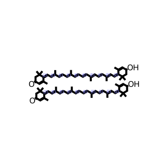 CC1=CC(=O)CC(C)(C)/C1=C/C=C(C)/C=C/C=C(C)/C=C/C=C/C(C)=C/C=C/C(C)=C/C=C1\C(C)=CC(O)CC1(C)C.CC1=CC(=O)CC(C)(C)/C1=C/C=C(C)/C=C/C=C(C)/C=C/C=C/C(C)=C/C=C/C(C)=C/C=C1\C(C)=CC(O)CC1(C)C